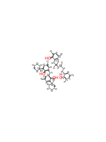 Cc1cc(C)c(O)c(CCC(C)CC(C)(C)Cc2cc(C)cc(C)c2O)c1.Cc1cc(Cc2cc(C)cc(C3(C)CCCCC3)c2O)c(O)c(C2(C)CCCCC2)c1